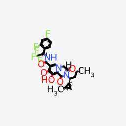 CC1CC([C@H]2C[C@H]2C)N2C(=O)c3c(O)c(=O)c(C(=O)N[C@@H](c4ccc(F)cc4F)C(F)(F)F)cn3C[C@@H]2O1